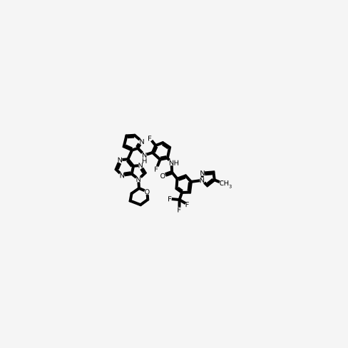 Cc1cnn(-c2cc(C(=O)Nc3ccc(F)c(Nc4ncccc4-c4ncnc5c4ncn5C4CCCCO4)c3F)cc(C(F)(F)F)c2)c1